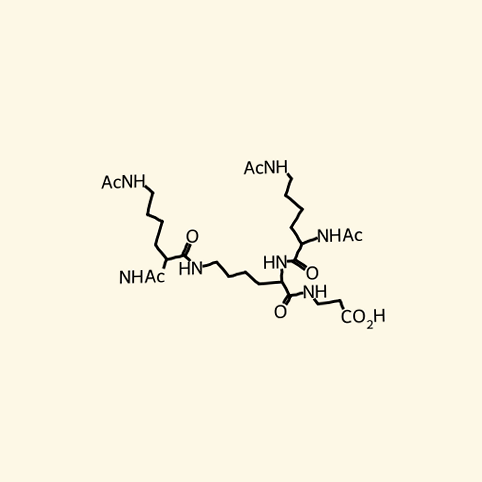 CC(=O)NCCCCC(NC(C)=O)C(=O)NCCCCC(NC(=O)C(CCCCNC(C)=O)NC(C)=O)C(=O)NCCC(=O)O